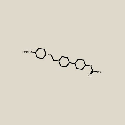 CCCCCCC[C@H]1CC[C@H](CCC2CCC(C3CCC(OC(=O)CCCC)CC3)CC2)CC1